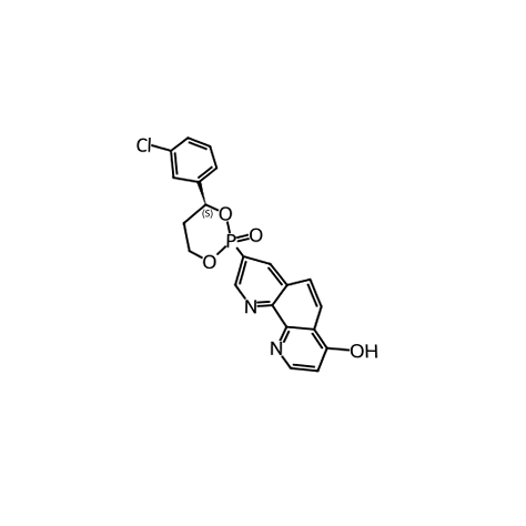 O=P1(c2cnc3c(ccc4c(O)ccnc43)c2)OCC[C@@H](c2cccc(Cl)c2)O1